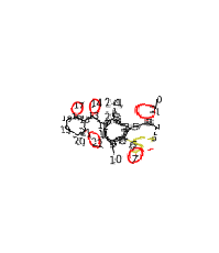 CCOC1CC[S+]([O-])c2c(C)cc(C(=O)C3C(=O)CCCC3=O)c(C)c21